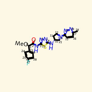 CO[C@@H](C(=O)Nc1nnc(N[C@@H]2CCN(c3ccc(C)nn3)C2)s1)c1ccc(F)cc1